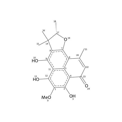 COc1c(O)c2c3c(c4c(c(O)c3c1O)C(C)(C)[C@H](C)O4)C(C)=CC2=O